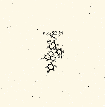 O=C(C[C@@H](c1ccc(F)cc1)C1CCCCC1)Nc1cncc(F)c1CC[C@@H]1CN[C@@H](CN(CC(F)(F)F)C(=O)O)CO1